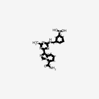 Cc1nc(NCc2cccc(B(O)O)c2)nc(-c2ncn3c(C(N)=O)cccc23)n1